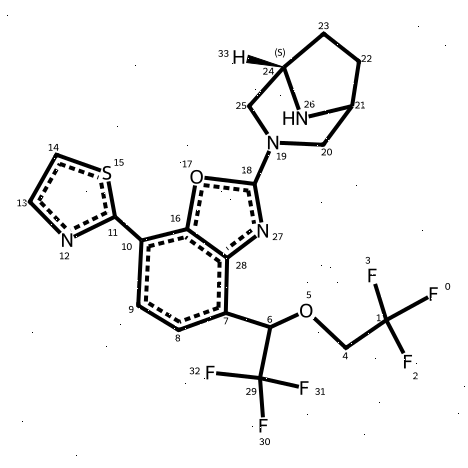 FC(F)(F)COC(c1ccc(-c2nccs2)c2oc(N3CC4CC[C@@H](C3)N4)nc12)C(F)(F)F